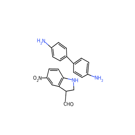 Nc1ccc(-c2ccc(N)cc2)cc1.O=CC1CNc2ccc([N+](=O)[O-])cc21